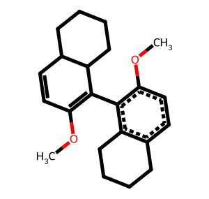 COC1=C(c2c(OC)ccc3c2CCCC3)C2CCCCC2C=C1